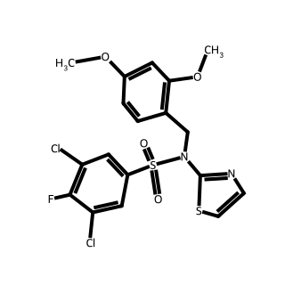 COc1ccc(CN(c2nccs2)S(=O)(=O)c2cc(Cl)c(F)c(Cl)c2)c(OC)c1